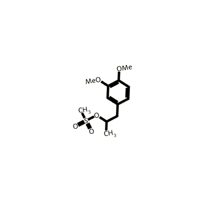 COc1ccc(CC(C)OS(C)(=O)=O)cc1OC